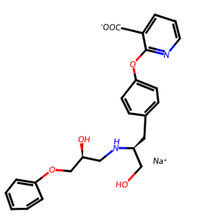 O=C([O-])c1cccnc1Oc1ccc(C[C@@H](CO)NC[C@H](O)COc2ccccc2)cc1.[Na+]